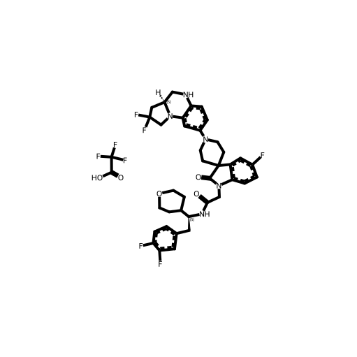 O=C(CN1C(=O)C2(CCN(c3ccc4c(c3)N3CC(F)(F)C[C@H]3CN4)CC2)c2cc(F)ccc21)N[C@@H](Cc1ccc(F)c(F)c1)C1CCOCC1.O=C(O)C(F)(F)F